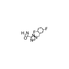 NC(=O)c1ncn(Cc2cc(F)ccc2F)n1